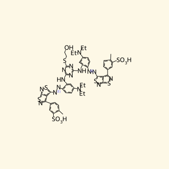 CCN(CC)c1ccc(/N=N/c2snc3snc(-c4ccc(C)c(S(=O)(=O)O)c4)c23)c(Nc2nc(Nc3cc(N(CC)CC)ccc3/N=N/c3snc4snc(-c5ccc(C)c(S(=O)(=O)O)c5)c34)nc(SCCO)n2)c1